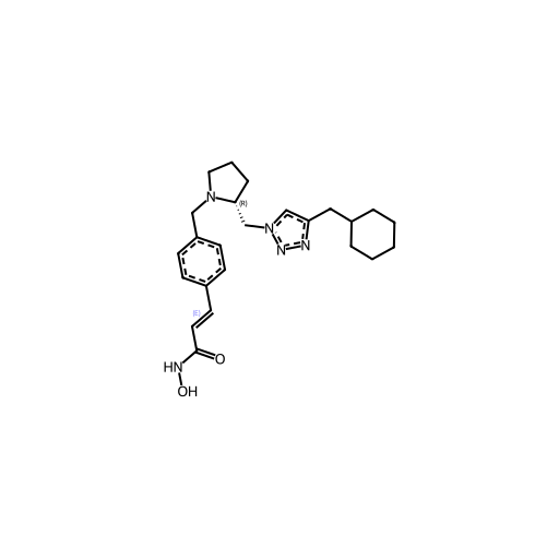 O=C(/C=C/c1ccc(CN2CCC[C@@H]2Cn2cc(CC3CCCCC3)nn2)cc1)NO